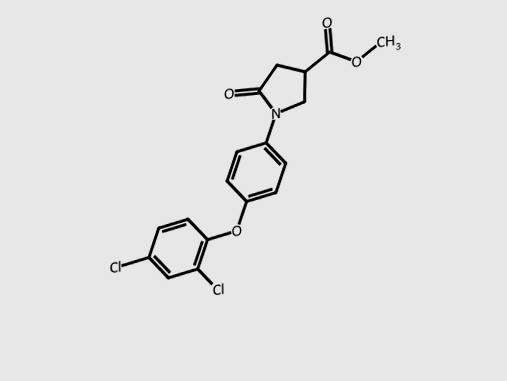 COC(=O)C1CC(=O)N(c2ccc(Oc3ccc(Cl)cc3Cl)cc2)C1